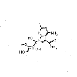 CO[C@H](CO)[C@@H](O)[C@@H](O)n1cc(C(N)=O)c2c(N)nc(C)nc21